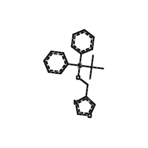 CC(C)(C)[Si](OCc1cocn1)(c1ccccc1)c1ccccc1